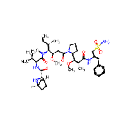 CC[C@H](C)[C@@H]([C@@H](CC(=O)N1CCCC1[C@H](OC)[C@@H](C)C(=O)NC(Cc1ccccc1)CS(N)(=O)=O)OC)N(C)C(=O)C(NC(=O)[C@H]1N[C@@H]2CC[C@H]1C2)C(C)C